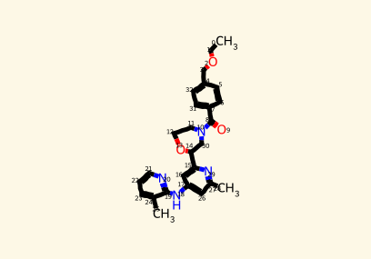 CCOCc1ccc(C(=O)N2CCOC(c3cc(Nc4ncccc4C)cc(C)n3)C2)cc1